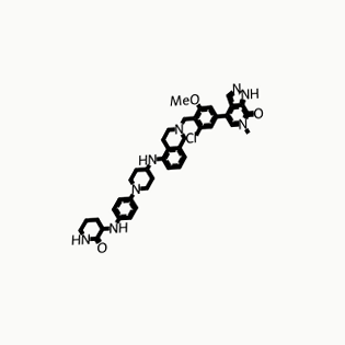 COc1cc(-c2cn(C)c(=O)c3[nH]ncc23)cc(Cl)c1CN1CCc2c(cccc2NC2CCN(c3ccc(NC4CCCNC4=O)cc3)CC2)C1